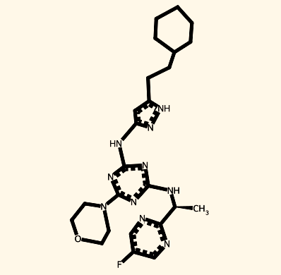 C[C@H](Nc1nc(Nc2cc(CCC3CCCCC3)[nH]n2)nc(N2CCOCC2)n1)c1ncc(F)cn1